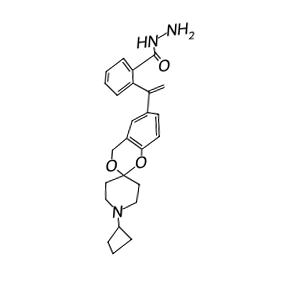 C=C(c1ccc2c(c1)COC1(CCN(C3CCC3)CC1)O2)c1ccccc1C(=O)NN